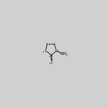 BN1CCSC1=S